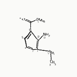 CBc1cccc(C(=O)OC)c1N